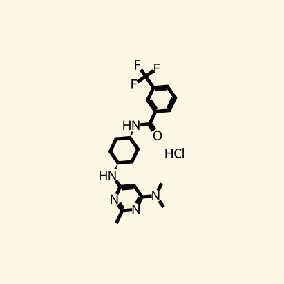 Cc1nc(N[C@H]2CC[C@@H](NC(=O)c3cccc(C(F)(F)F)c3)CC2)cc(N(C)C)n1.Cl